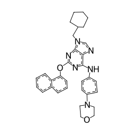 c1ccc2c(Oc3nc(Nc4ccc(N5CCOCC5)cc4)c4ncn(CC5CCCCC5)c4n3)cccc2c1